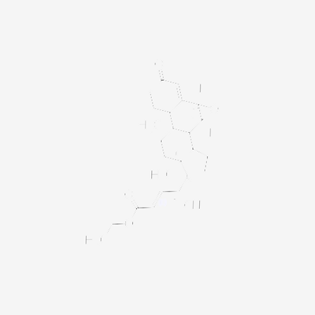 CCOC(=O)/C=C/[C@@H](C)[C@H]1CCC2C3C(CC[C@@]21C)[C@@]1(C)CCC(=O)C=C1[C@H]1O[C@@H]31